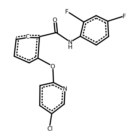 O=C(Nc1ccc(F)cc1F)c1ccccc1Oc1ccc(Cl)cn1